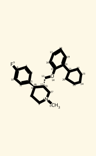 CN1CC[C@@H](c2ccc(F)cc2)[C@H](COc2ccccc2C2CCCCC2)C1